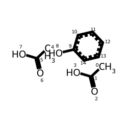 CC(=O)O.CC(=O)O.Oc1ccccc1